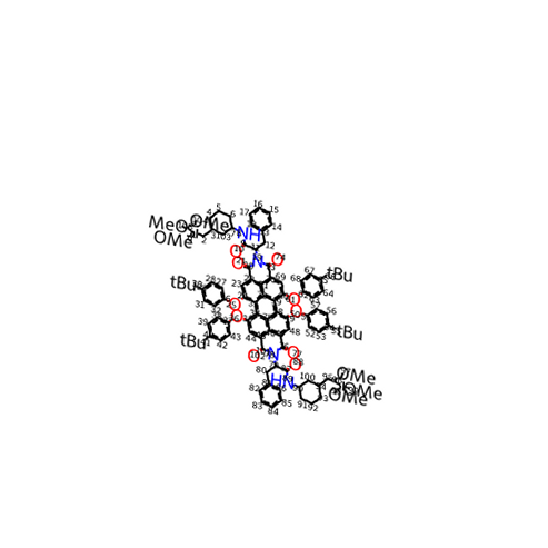 CO[Si](CC1CCCC(NC(=O)C(Cc2ccccc2)N2C(=O)c3cc(Oc4ccc(C(C)(C)C)cc4)c4c5c(Oc6ccc(C(C)(C)C)cc6)cc6c7c(cc(Oc8ccc(C(C)(C)C)cc8)c(c8c(Oc9ccc(C(C)(C)C)cc9)cc(c3c48)C2=O)c75)C(=O)N(C(Cc2ccccc2)C(=O)NC2CCCC(C[Si](OC)(OC)OC)C2)C6=O)C1)(OC)OC